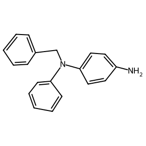 Nc1ccc(N(Cc2ccccc2)c2ccccc2)cc1